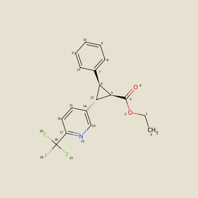 CCOC(=O)[C@@H]1[C@H](c2ccccc2)[C@H]1c1ccc(C(F)(F)F)nc1